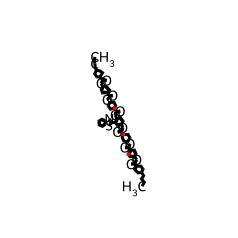 CCCCC1CCC(C(=O)Oc2ccc(C(=O)O[C@H]3CC[C@H](C(=O)Oc4ccc(OC(=O)[C@H]5CC[C@H](OC(=O)c6ccc(OC(=O)C7CCC(CCCC)CC7)cc6)CC5)c(-c5nc6ccccc6s5)c4)CC3)cc2)CC1